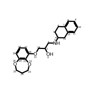 OC(CNC1CCc2ccccc2C1)COc1cccc2c1OCCCO2